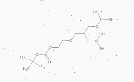 CC(C)(C)OC(=O)OCCOCC(CON(O)O)ON(O)O